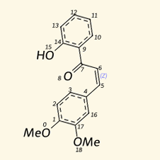 COc1ccc(/C=C\C(=O)c2ccccc2O)cc1OC